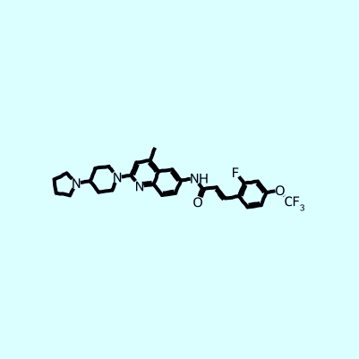 Cc1cc(N2CCC(N3CCCC3)CC2)nc2ccc(NC(=O)C=Cc3ccc(OC(F)(F)F)cc3F)cc12